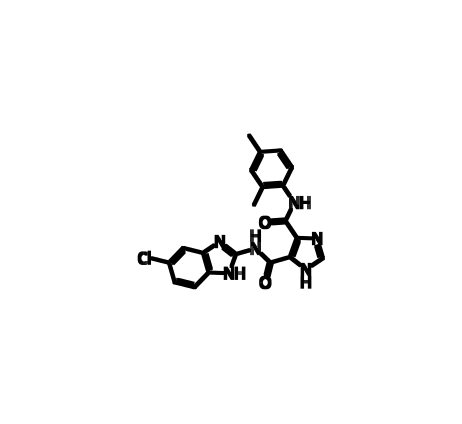 Cc1ccc(NC(=O)c2nc[nH]c2C(=O)Nc2nc3cc(Cl)ccc3[nH]2)c(C)c1